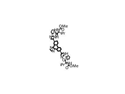 COC(=O)N[C@H](C(=O)N1CCC[C@H]1c1ncc(-c2ccc3c4ccc(-c5cnc([C@@H]6CCCN6C(=O)[C@@H](NC(=O)OC)C(C)C)[nH]5)cc4c4nccnc4c3c2)[nH]1)C(C)C